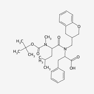 CC(C)CC(C(=O)N(CC1COc2ccccc2C1)C(Cc1ccccc1)C(=O)O)N(C)C(=O)OC(C)(C)C